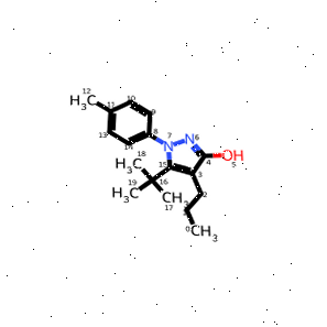 CCCc1c(O)nn(-c2ccc(C)cc2)c1C(C)(C)C